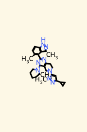 Cc1ccc2[nH]nc(C)c2c1-c1nc2c(c(N3CCCC[C@H]3C)n1)CN(c1cc(C3CC3)nn1C)CC2